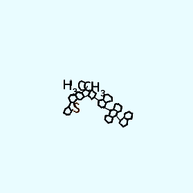 CC1(C)c2ccc(-c3ccc(-c4c5ccccc5c(-c5cccc6ccccc56)c5ccccc45)c4ccccc34)cc2-c2cc3c(ccc4c5ccccc5sc34)cc21